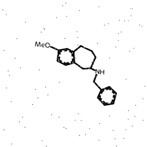 COc1ccc2c(c1)CCCC(NCc1ccccc1)C2